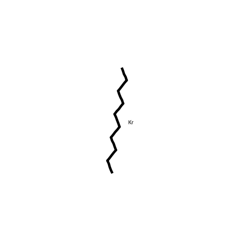 CCCCCCCCCC.[Kr]